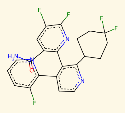 NC(=O)c1cc(F)c(F)nc1-c1c(-c2ncccc2F)ccnc1C1CCC(F)(F)CC1